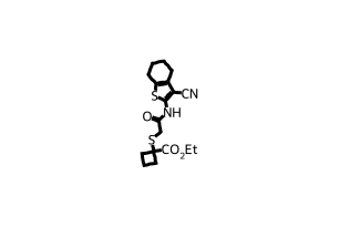 CCOC(=O)C1(SCC(=O)Nc2sc3c(c2C#N)CCCC3)CCC1